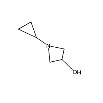 OC1CN(C2CC2)C1